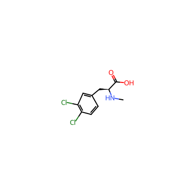 CN[C@@H](Cc1ccc(Cl)c(Cl)c1)C(=O)O